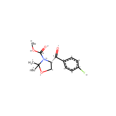 CCCCC1(C)OC[C@@H](C(=O)c2ccc(F)cc2)N1C(=O)OC(C)(C)C